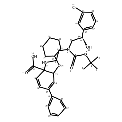 CC(C)(C)OC(=O)N(CCNC1(C(=O)O)C=CC(c2ccccc2)=CC1OC1CCCCC1)C[C@H](O)c1cccc(Cl)c1